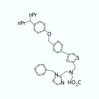 CCCC(CCC)c1ccc(OCc2ccc(-c3csc(CN(CC(=O)O)Cc4nccn4Cc4ccccc4)c3)cc2)cc1